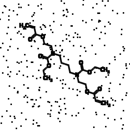 C=CC(=O)OCCN(CCCCN(CCOC(=O)C=C)C(=O)OCC)C(=O)OCC